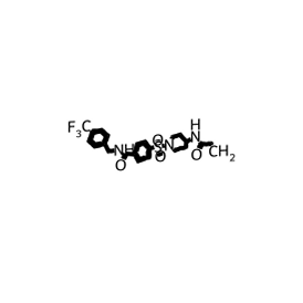 C=CC(=O)NC1CCN(S(=O)(=O)c2ccc(C(=O)NCc3ccc(C(F)(F)F)cc3)cc2)CC1